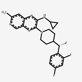 Cc1cc2nc(NC3CC3)c(N3CCC([C@H](F)c4ccc(F)cc4F)CC3)nc2cn1